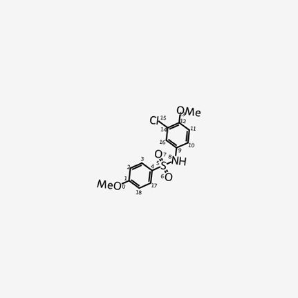 COc1ccc(S(=O)(=O)Nc2ccc(OC)c(Cl)c2)cc1